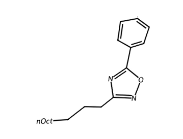 CCCCCCCCCCCc1noc(-c2cc[c]cc2)n1